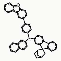 c1ccc2c(c1)-c1ccc(N(c3ccc(-c4ccc5oc6ccccc6c5c4)cc3)c3ccc4ccccc4c3)cc1C21CC2CCC1C2